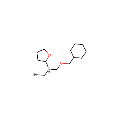 CC(C)C[SiH](COCC1CCCCC1)C1CCCO1